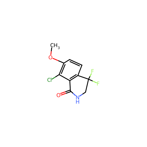 COc1ccc2c(c1Cl)C(=O)NCC2(F)F